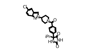 CC(C)C1(c2ccc(C(=O)N3CCC(n4cc5cc(Cl)ccc5n4)CC3)cc2)NC(=O)NC1=O